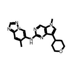 Cc1cc2ncnn2cc1Nc1ncc2c(n1)c(C1CCOCC1)cn2C